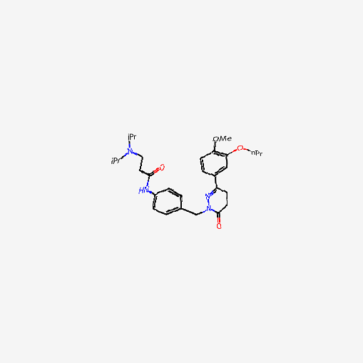 CCCOc1cc(C2=NN(Cc3ccc(NC(=O)CCN(C(C)C)C(C)C)cc3)C(=O)CC2)ccc1OC